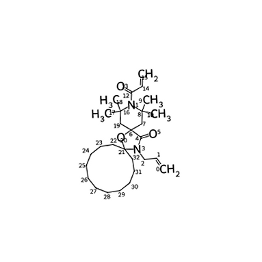 C=CCN1C(=O)C2(CC(C)(C)N(C(=O)C=C)C(C)(C)C2)OC12CCCCCCCCCCC2